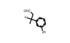 [2H]C(C)(CC=O)c1cccc(C(C)C)c1